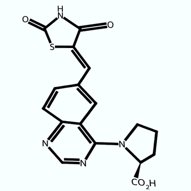 O=C1NC(=O)/C(=C/c2ccc3ncnc(N4CCC[C@H]4C(=O)O)c3c2)S1